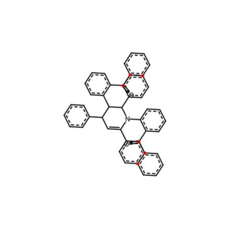 O=C(c1ccccc1)c1ccccc1C1C(c2ccccc2)C=C(c2ccccc2)N(c2ccccc2C(=O)c2ccccc2)C1c1ccccc1